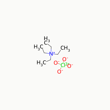 CC[N+](CC)(CC)CC.[O-][Cl+3]([O-])([O-])[O-]